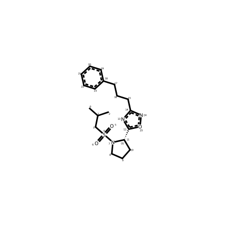 CC(C)CS(=O)(=O)N1CCC[C@H]1c1nc(CCCc2ccccc2)no1